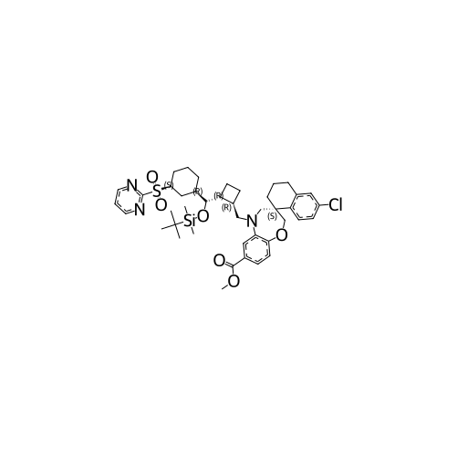 COC(=O)c1ccc2c(c1)N(C[C@@H]1CC[C@H]1C(O[Si](C)(C)C(C)(C)C)[C@@H]1CCC[C@H](S(=O)(=O)c3ncccn3)C1)C[C@@]1(CCCc3cc(Cl)ccc31)CO2